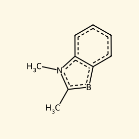 Cc1bc2ccccc2n1C